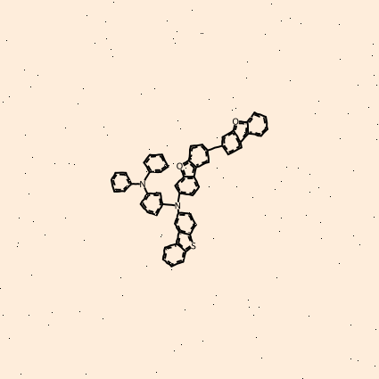 c1ccc(N(c2ccccc2)c2cccc(N(c3ccc4c(c3)oc3ccc(-c5ccc6c(c5)oc5ccccc56)cc34)c3ccc4sc5ccccc5c4c3)c2)cc1